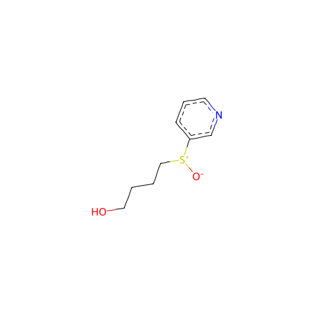 [O-][S+](CCCCO)c1cccnc1